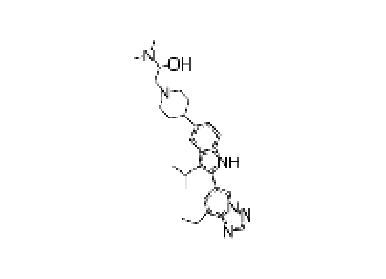 CCc1cc(-c2[nH]c3ccc(C4CCN(CC(O)N(C)C)CC4)cc3c2C(C)C)cn2ncnc12